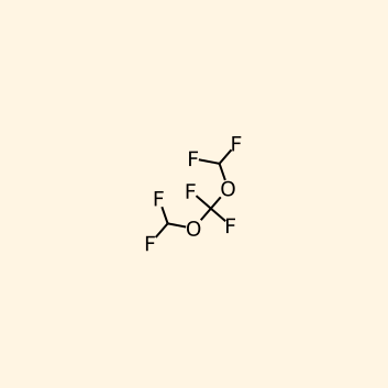 FC(F)OC(F)(F)OC(F)F